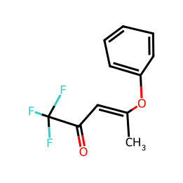 CC(=CC(=O)C(F)(F)F)Oc1ccccc1